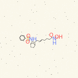 O=C(CCCC=CCC1C2CCC(C2)C1NS(=O)(=O)c1ccccc1)NO